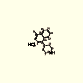 Cc1ccc(C2CCNCC2)c2ccccc12.Cl